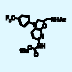 CC(=O)NCC1CN(c2ccc(C(F)(F)F)cc2)c2ccc(NC(=O)OC(C)(C)C)nc2O1